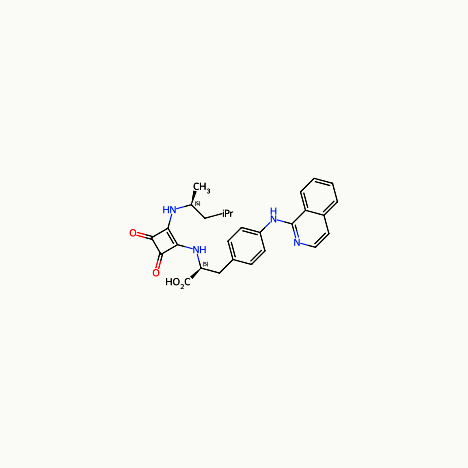 CC(C)C[C@H](C)Nc1c(N[C@@H](Cc2ccc(Nc3nccc4ccccc34)cc2)C(=O)O)c(=O)c1=O